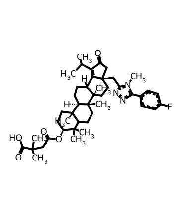 CC(C)C1=C2[C@H]3CC[C@@H]4[C@@]5(C)CC[C@H](OC(=O)CC(C)(C)C(=O)O)C(C)(C)C5CC[C@@]4(C)[C@]3(C)CC[C@@]2(Cc2nnc(-c3ccc(F)cc3)n2C)CC1=O